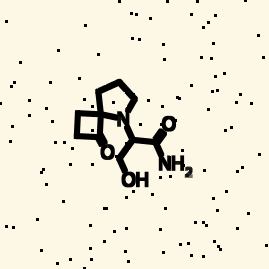 NC(=O)C(CO)N1CCCC12CCC2=O